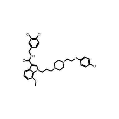 COc1cccc2c(C(=O)NCc3ccc(Cl)c(Cl)c3)cn(CCCN3CCN(CCOc4ccc(Cl)cc4)CC3)c12